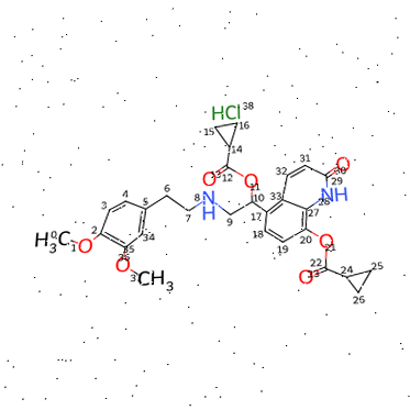 COc1ccc(CCNCC(OC(=O)C2CC2)c2ccc(OC(=O)C3CC3)c3[nH]c(=O)ccc23)cc1OC.Cl